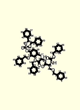 O=C(N[C@@H](COCc1ccccc1)C(=O)N[C@@H](Cc1ccc(OP(=O)(OCc2ccccc2)OCc2ccccc2)c(OCc2ccccc2)c1)C(=O)OCc1ccccc1)OCc1ccccc1